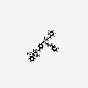 OC(O)(CCNCc1ccc(CN(CCNCc2ccccn2)CCNCc2ccccn2)cc1)c1ccccc1